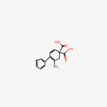 CC1=C(c2ccccc2)C=CC(C(=O)O)(C(=O)O)C1